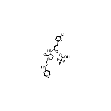 O=C(C=Cc1ccc(Cl)s1)NC1CCN(CCNc2ccncc2)C1=O.O=C(O)C(F)(F)F